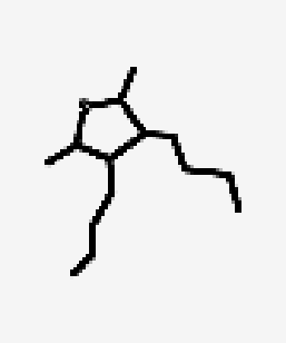 CCCCC1C(C)SC(C)C1CCCC